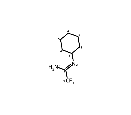 NC(=NC1CCCCC1)C(F)(F)F